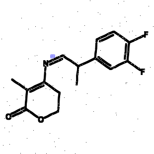 CC1=C(/N=C\C(C)c2ccc(F)c(F)c2)CCOC1=O